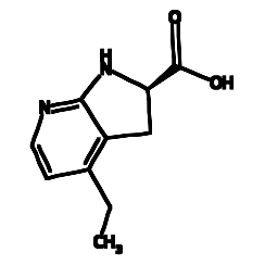 CCc1ccnc2c1C[C@H](C(=O)O)N2